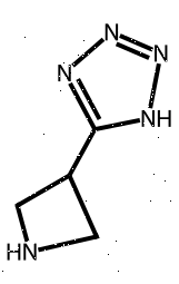 C1NCC1c1nnn[nH]1